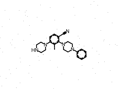 Cc1c(N2CCNCC2)ccc(C#N)c1N1CCN(c2ccccc2)CC1